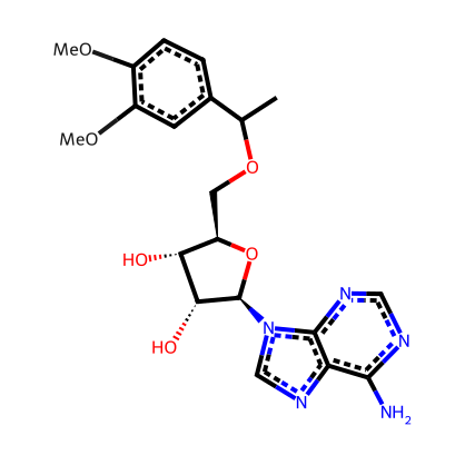 COc1ccc(C(C)OC[C@H]2O[C@@H](n3cnc4c(N)ncnc43)[C@H](O)[C@@H]2O)cc1OC